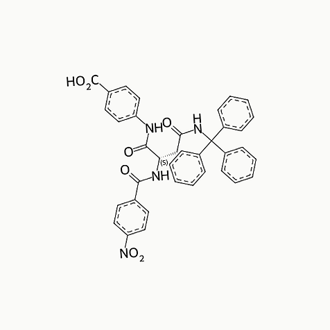 O=C(C[C@H](NC(=O)c1ccc([N+](=O)[O-])cc1)C(=O)Nc1ccc(C(=O)O)cc1)NC(c1ccccc1)(c1ccccc1)c1ccccc1